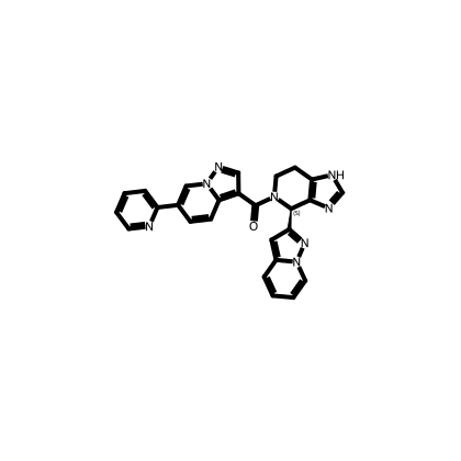 O=C(c1cnn2cc(-c3ccccn3)ccc12)N1CCc2[nH]cnc2[C@H]1c1cc2ccccn2n1